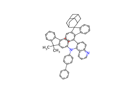 CC1(C)c2ccccc2-c2ccc(N(c3ccc(-c4ccccc4)cc3)c3c(-c4cccc5c4-c4ccccc4C54C5CC6CC(C5)CC4C6)ccc4ncccc34)cc21